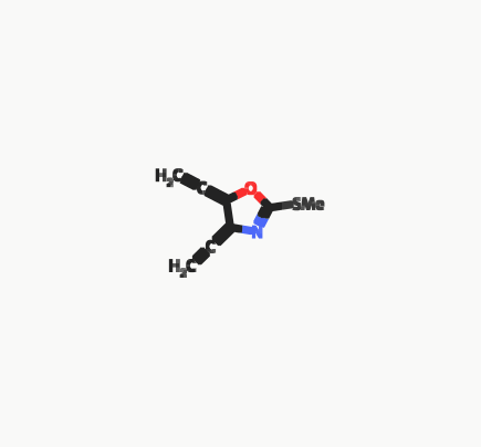 C=C=c1nc(SC)oc1=C=C